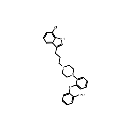 COc1ccccc1Oc1ccccc1N1CCN(CCCc2c[nH]c3c(Cl)cccc23)CC1